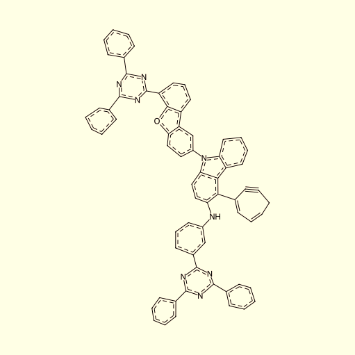 C1#CC(c2c(Nc3cccc(-c4nc(-c5ccccc5)nc(-c5ccccc5)n4)c3)ccc3c2c2ccccc2n3-c2ccc3oc4c(-c5nc(-c6ccccc6)nc(-c6ccccc6)n5)cccc4c3c2)=CC=CC1